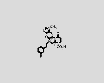 Cn1cncc1C[C@H]1C(=O)N(CCc2cccc(F)c2)C[C@@H]2N(C(=O)O)CCC(=O)N21